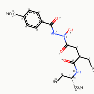 CC(C)CC(CC(=O)N(O)NC(=O)c1ccc(C(=O)O)cc1)C(=O)N[C@@H](CC(C)C)C(=O)O